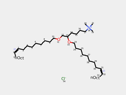 CCCCCCCC/C=C\CCCCCCCCOCC(CCCC[N+](C)(C)C)OCCCCCCCC/C=C\CCCCCCCC.[Cl-]